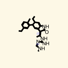 CCc1ccc(C)c(C2C=C3C(=CC2CC)NC(=O)/C3=C(/C)NC(=N)/N=C\NC)c1